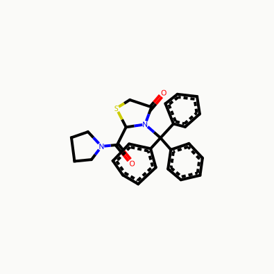 O=C(C1SCC(=O)N1C(c1ccccc1)(c1ccccc1)c1ccccc1)N1CCCC1